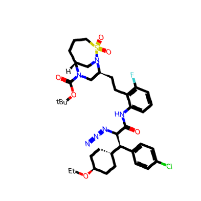 CCO[C@H]1CC[C@H]([C@H](c2ccc(Cl)cc2)C(N=[N+]=[N-])C(=O)Nc2cccc(F)c2CC[C@H]2CN(C(=O)OC(C)(C)C)[C@@H]3CCCS(=O)(=O)N2C3)CC1